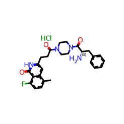 Cc1ccc(F)c2c(=O)[nH]c(CCC(=O)N3CCN(C(=O)[C@@H](N)Cc4ccccc4)CC3)cc12.Cl